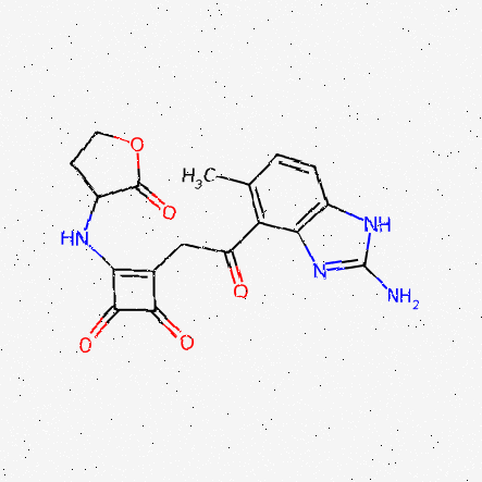 Cc1ccc2[nH]c(N)nc2c1C(=O)Cc1c(NC2CCOC2=O)c(=O)c1=O